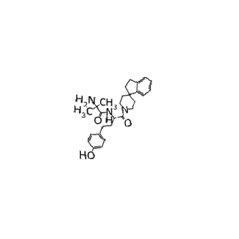 CC(C)(N)C(=O)NC(CCc1ccc(O)cc1)C(=O)N1CCC2(CCc3ccccc32)CC1